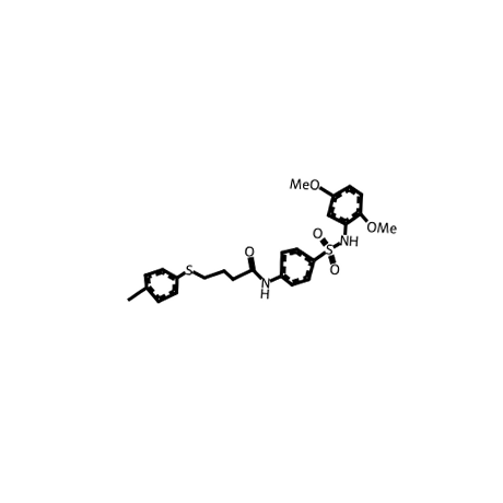 COc1ccc(OC)c(NS(=O)(=O)c2ccc(NC(=O)CCCSc3ccc(C)cc3)cc2)c1